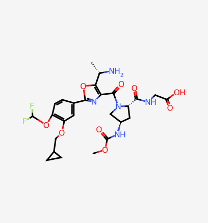 COC(=O)N[C@@H]1C[C@@H](C(=O)NCC(=O)O)N(C(=O)c2nc(-c3ccc(OC(F)F)c(OCC4CC4)c3)oc2[C@H](C)N)C1